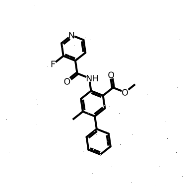 COC(=O)c1cc(-c2ccccc2)c(C)cc1NC(=O)c1ccncc1F